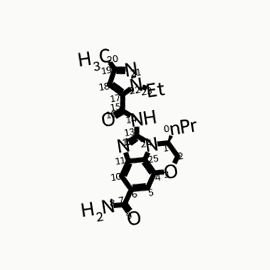 CCC[C@H]1COc2cc(C(N)=O)cc3nc(NC(=O)c4cc(C)nn4CC)n1c23